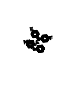 O=C(O)C(c1ccc(F)cc1)c1ccc(F)cc1.c1ccc(CN2CCNCC2)cc1